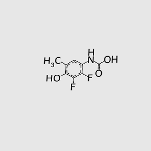 Cc1cc(NC(=O)O)c(F)c(F)c1O